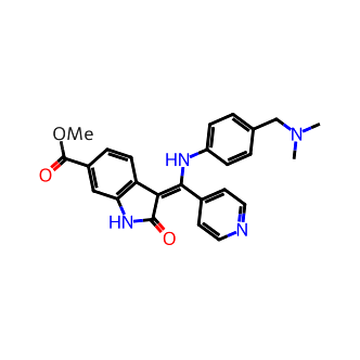 COC(=O)c1ccc2c(c1)NC(=O)C2=C(Nc1ccc(CN(C)C)cc1)c1ccncc1